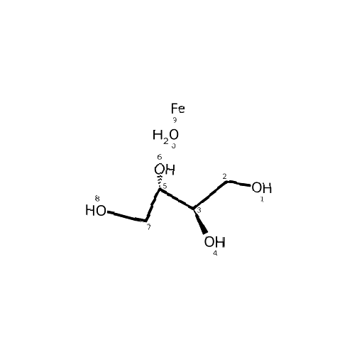 O.OC[C@@H](O)[C@@H](O)CO.[Fe]